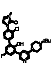 Cn1ccn(-c2ccc(-c3cc(F)cc(-c4cncc(N5CCN(C(C)(C)C)CC5)c4)c3O)cc2Cl)c1=O